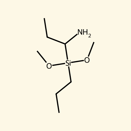 CCC[Si](OC)(OC)C(N)CC